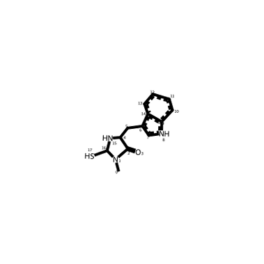 CN1C(=O)C(Cc2c[nH]c3ccccc23)NC1S